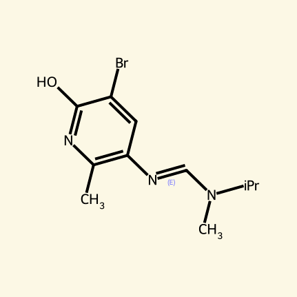 Cc1nc(O)c(Br)cc1/N=C/N(C)C(C)C